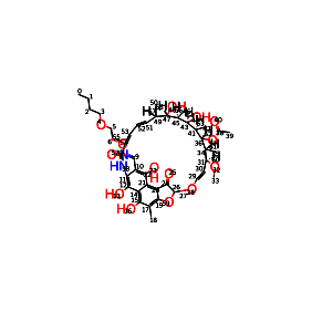 CCCCOCCO/N=C/c1c2c(O)c3c(O)c(C)c4c(c3c1O)C(=O)[C@@](C)(O/C=C/[C@H](OC)[C@@H](C)[C@@H](OC(C)=O)[C@H](C)[C@H](O)[C@H](C)[C@@H](O)[C@@H](C)/C=C/C=C(/C)C(=O)N2)O4